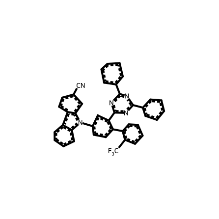 N#Cc1ccc2c3ccccc3n(-c3ccc(-c4ccccc4C(F)(F)F)c(-c4nc(-c5ccccc5)nc(-c5ccccc5)n4)c3)c2c1